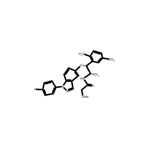 COCC(=O)N[C@@H](C)[C@H](Oc1ccc2c(cnn2-c2ccc(F)cc2)c1)c1cc(C)ccc1C